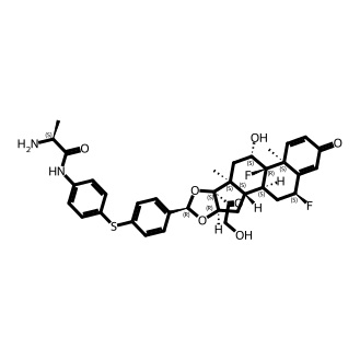 C[C@H](N)C(=O)Nc1ccc(Sc2ccc([C@@H]3O[C@@H]4C[C@H]5[C@@H]6C[C@H](F)C7=CC(=O)C=C[C@]7(C)[C@@]6(F)[C@@H](O)C[C@]5(C)[C@]4(C(=O)CO)O3)cc2)cc1